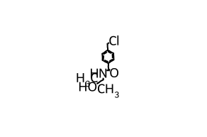 CC(C)(O)CNC(=O)c1ccc(CCl)cc1